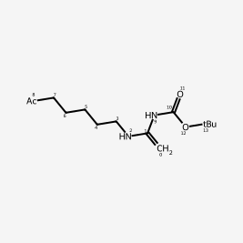 C=C(NCCCCCC(C)=O)NC(=O)OC(C)(C)C